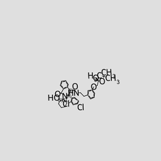 CC(C)(C)OC(=O)COc1cccc(CCNC(=O)[C@@H]2c3ccccc3C(=O)N([C@H]3CCCC[C@@H]3O)[C@H]2c2ccc(Cl)cc2Cl)c1